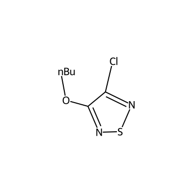 CCCCOc1nsnc1Cl